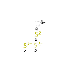 [S-2].[S-2].[S-2].[Ti+6]